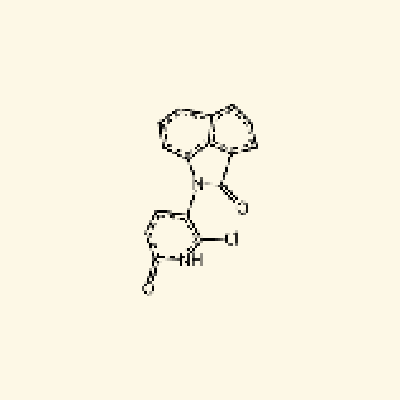 O=C1c2cccc3cccc(c23)N1c1ccc(=O)[nH]c1Cl